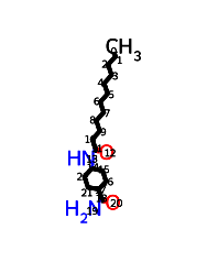 CCCCCCCCCCCC(=O)NC1CCC(C(N)=O)CC1